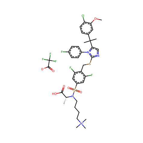 COc1cc(C(C)(C)c2cnc(SCc3c(F)cc(S(=O)(=O)N(CCCC[N+](C)(C)C)[C@H](C)C(=O)O)cc3F)n2-c2ccc(F)cc2)ccc1Cl.O=C([O-])C(F)(F)F